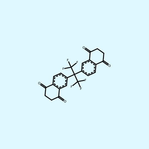 O=C1CCC(=O)c2cc(C(c3ccc4c(c3)C(=O)CCC4=O)(C(F)(F)F)C(F)(F)F)ccc21